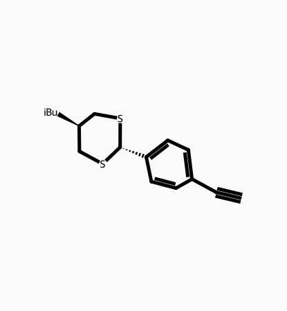 C#Cc1ccc([C@H]2SC[C@H](C(C)CC)CS2)cc1